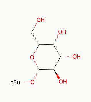 CCCCO[C@@H]1O[C@H](CO)[C@H](O)[C@H](O)[C@H]1O